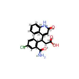 NC(=O)c1cc(Cl)ccc1C(CC(=O)O)c1cc(=O)[nH]c2ccccc12